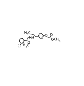 COC(=O)COc1ccc(CCC(C)NCC(OC)c2cccc(Cl)c2)cc1